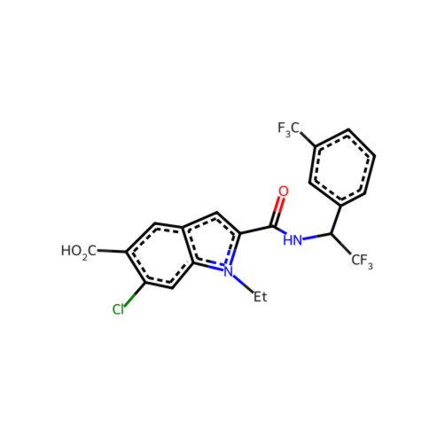 CCn1c(C(=O)NC(c2cccc(C(F)(F)F)c2)C(F)(F)F)cc2cc(C(=O)O)c(Cl)cc21